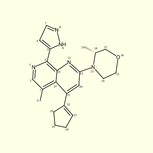 Cc1cnc(-c2ccn[nH]2)c2nc(N3CCOC[C@H]3C)cc(C3=CCCC3)c12